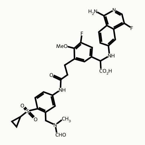 COc1c(F)cc(C(Nc2ccc3c(N)ncc(F)c3c2)C(=O)O)cc1CCC(=O)Nc1ccc(S(=O)(=O)C2CC2)c(CN(C)C=O)c1